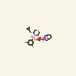 O=C(OC1([C@H]2COC[C@@H](CC3CC3)N2S(=O)(=O)c2cc(F)cc(F)c2)CC1)N1C2CCC1CN(CCO)C2